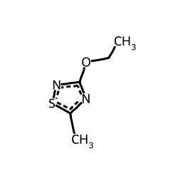 CCOc1nsc(C)n1